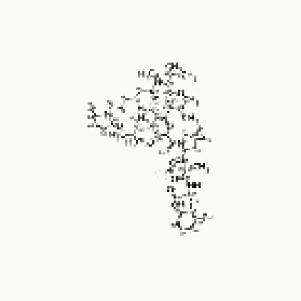 CC[C@H](C)[C@@H]([C@@H](CC(=O)N1CC2(CC2)CC1[C@H](OC)[C@@H](C)C(=O)NC(Cc1ccccc1F)C(=O)O)OC)N(C)C(=O)C(NC(=O)C(C(C)C)N(C)C(=O)CCCCCN1C(=O)C=CC1=O)C(C)C